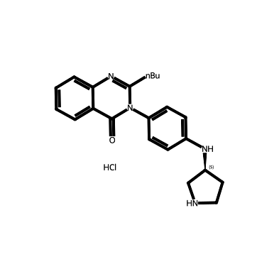 CCCCc1nc2ccccc2c(=O)n1-c1ccc(N[C@H]2CCNC2)cc1.Cl